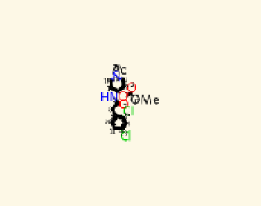 COC(=O)OC1(NC(=O)Cc2ccc(Cl)cc2Cl)CCN(C(C)=O)CC1